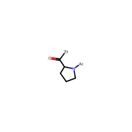 CCC(=O)C1CCCN1C(C)=O